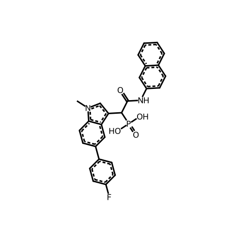 Cn1cc(C(C(=O)Nc2ccc3ccccc3c2)P(=O)(O)O)c2cc(-c3ccc(F)cc3)ccc21